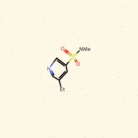 CCc1cncc(S(=O)(=O)NC)c1